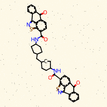 O=C(NC1CCC(CC2CCC(NC(=O)c3ccc4c5c(nsc35)-c3ccccc3C4=O)CC2)CC1)c1ccc2c3c(nsc13)-c1ccccc1C2=O